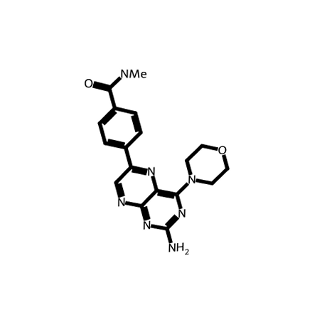 CNC(=O)c1ccc(-c2cnc3nc(N)nc(N4CCOCC4)c3n2)cc1